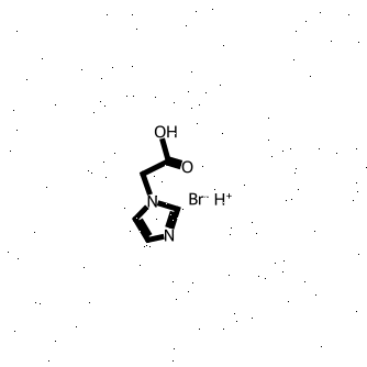 O=C(O)Cn1ccnc1.[Br-].[H+]